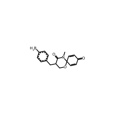 Bc1ccc(CC2COC3(C=CC(=O)C=C3)N(C)C2=O)cc1